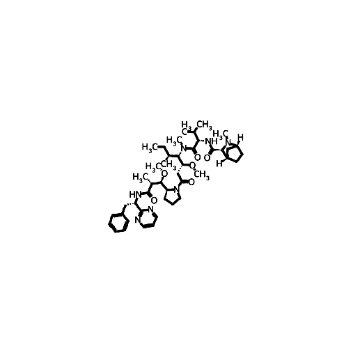 CC[C@H](C)[C@@H]([C@@H](CC(=O)N1CCC[C@H]1[C@H](OC)[C@@H](C)C(=O)N[C@@H](Cc1ccccc1)c1ncccn1)OC)N(C)C(=O)[C@@H](NC(=O)[C@@H]1[C@H]2CC[C@H](C2)N1C)C(C)C